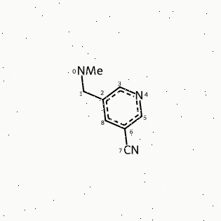 CNCc1cncc(C#N)c1